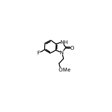 COCCn1c(=O)[nH]c2ccc(F)cc21